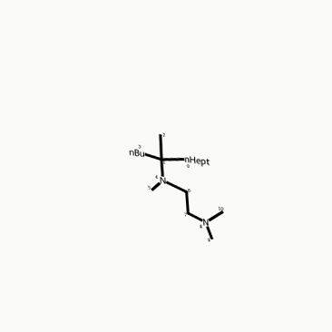 CCCCCCCC(C)(CCCC)N(C)CCN(C)C